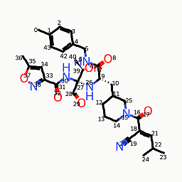 Cc1ccc(CNC(=O)[C@H](CC2CCCN(C(=O)C(C#N)=CC(C)C)C2)N[C@](C=O)(NC(=O)c2cc(C)on2)[C@@H](C)O)cc1